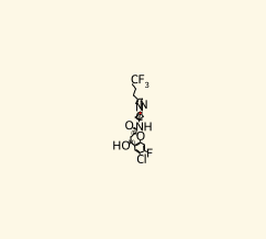 O=C(NC12CC(n3cc(CCCC(F)(F)F)cn3)(C1)C2)[C@H]1C[C@@H](O)c2cc(Cl)c(F)cc2O1